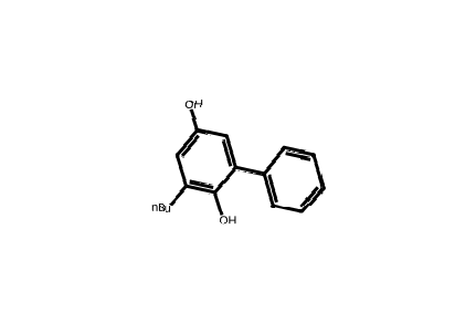 CCCCc1cc(O)cc(-c2ccccc2)c1O